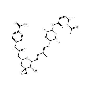 CC(=O)O[C@@H](C)/C=C\C(=O)N[C@@H]1C[C@H](C)[C@H](C/C=C(C)/C=C/C2O[C@H](CC(=O)Nc3ccc(C(N)=O)cc3)CC3(CO3)C2O)O[C@@H]1C